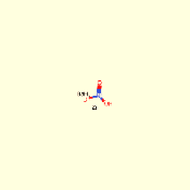 O=[N+]([O-])O.[BaH2].[Zr]